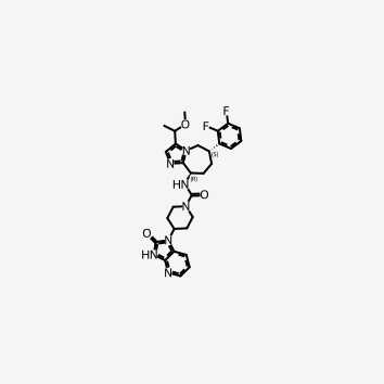 COC(C)c1cnc2n1C[C@H](c1cccc(F)c1F)CC[C@H]2NC(=O)N1CCC(n2c(=O)[nH]c3ncccc32)CC1